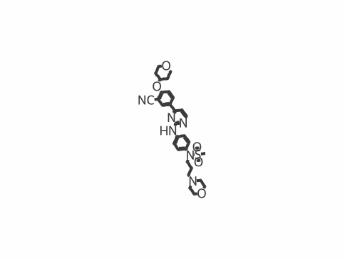 CS(=O)(=O)N(CCCN1CCOCC1)c1ccc(Nc2nccc(-c3ccc(OC4CCOCC4)c(C#N)c3)n2)cc1